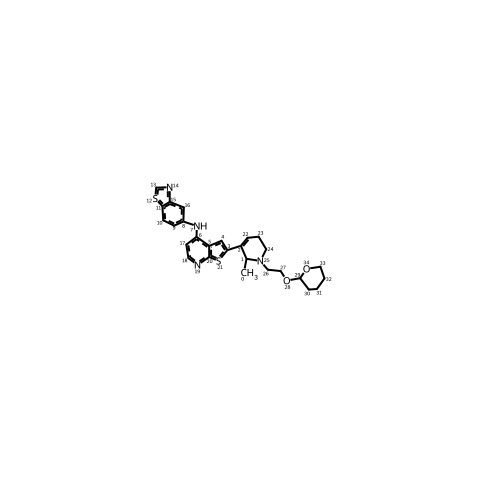 CC1C(c2cc3c(Nc4ccc5scnc5c4)ccnc3s2)=CCCN1CCOC1CCCCO1